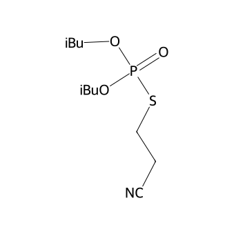 CCC(C)OP(=O)(OCC(C)C)SCCC#N